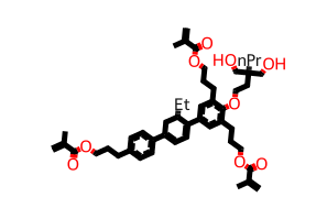 C=C(C)C(=O)OCCCc1ccc(C2=CC=C(c3cc(CCCOC(=O)C(=C)C)c(OCCC(CO)(CO)CCC)c(CCCOC(=O)C(=C)C)c3)C(CC)C2)cc1